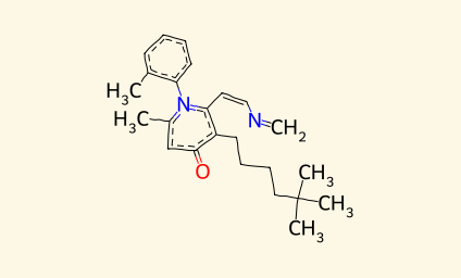 C=N/C=C\c1c(CCCCC(C)(C)C)c(=O)cc(C)n1-c1ccccc1C